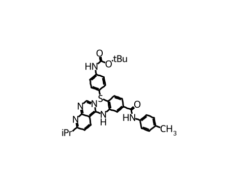 Cc1ccc(NC(=O)c2ccc(Sc3ccc(NC(=O)OC(C)(C)C)cc3)c(Nc3ncnc4nc(C(C)C)ccc34)c2)cc1